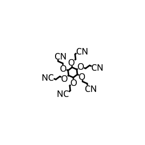 N#CCCOC1C(OCCC#N)C(OCCC#N)C(OCCC#N)C(OCCC#N)C1OCCC#N